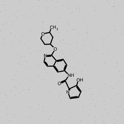 CC1CC(Oc2nccc3cc(NC(=O)c4ncccc4O)ccc23)CCO1